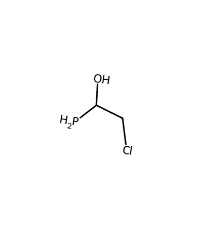 OC(P)CCl